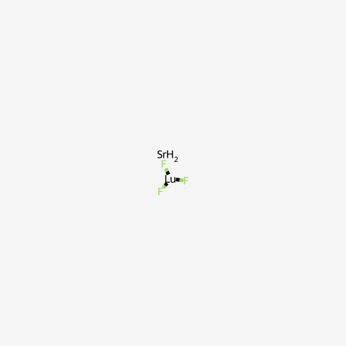 [F][Lu]([F])[F].[SrH2]